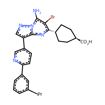 CC(C)c1cccc(-c2ccc(-c3cnn4c(N)c(Br)c([C@H]5CC[C@H](C(=O)O)CC5)nc34)cn2)c1